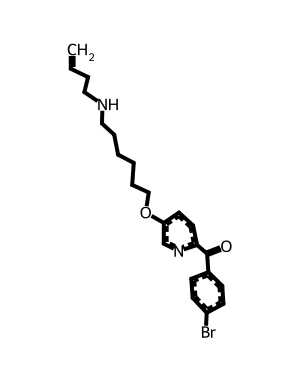 C=CCCNCCCCCCOc1ccc(C(=O)c2ccc(Br)cc2)nc1